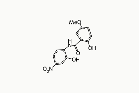 COc1ccc(O)c(C(=O)Nc2ccc([N+](=O)[O-])cc2O)c1